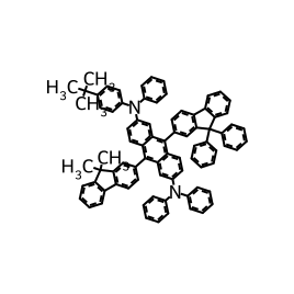 CC(C)(C)c1ccc(N(c2ccccc2)c2ccc3c(-c4ccc5c(c4)C(C)(C)c4ccccc4-5)c4cc(N(c5ccccc5)c5ccccc5)ccc4c(-c4ccc5c(c4)C(c4ccccc4)(c4ccccc4)c4ccccc4-5)c3c2)cc1